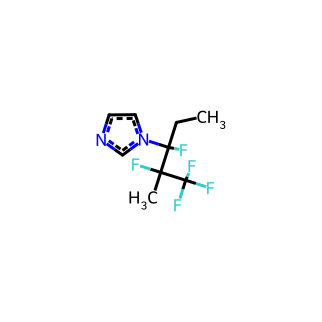 CCC(F)(n1ccnc1)C(C)(F)C(F)(F)F